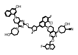 CN1CC(c2cc(N3CCc4c(nc(OCC56CCCN5CC(F)C6)nc4N4CCC(O)C(C#N)CC4)C3)c3c(Cl)c(F)ccc3c2)CC1COc1nc2c(c(N3CCCC(O)CC3)n1)CCN(c1cc(O)cc3ccccc13)C2